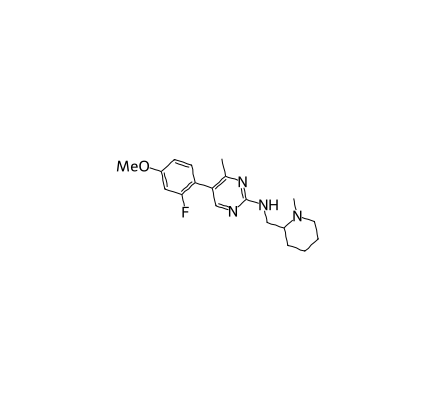 COc1ccc(-c2cnc(NCC3CCCCN3C)nc2C)c(F)c1